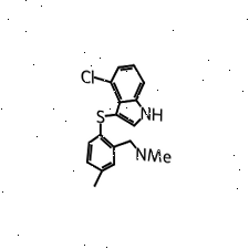 CNCc1cc(C)ccc1Sc1c[nH]c2cccc(Cl)c12